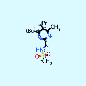 Cc1nc(CNS(C)(=O)=O)nc(C(C)(C)C)c1C(C)C